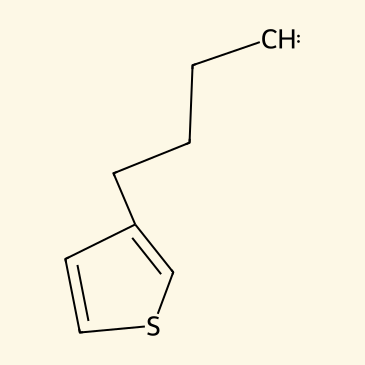 [CH]CCCc1ccsc1